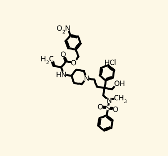 C=CC(NC1CCN(CCC(CO)(CN(C)S(=O)(=O)c2ccccc2)c2ccccc2)CC1)C(=O)OCc1ccc([N+](=O)[O-])cc1.Cl